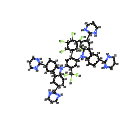 Fc1c(F)c(F)c(-c2cc(-n3c4ccc(-c5ncccn5)cc4c4cc(-c5ncccn5)ccc43)c(C(F)(F)F)cc2-n2c3ccc(-c4ncccn4)cc3c3cc(-c4ncccn4)ccc32)c(F)c1F